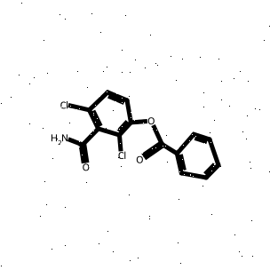 NC(=O)c1c(Cl)ccc(OC(=O)c2ccccc2)c1Cl